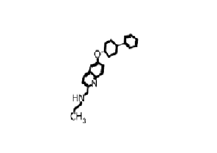 CCCNCc1ccc2cc(O[C@H]3CC[C@H](c4ccccc4)CC3)ccc2n1